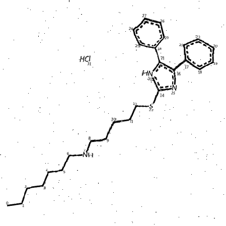 CCCCCCCNCCCCCSc1nc(-c2ccccc2)c(-c2ccccc2)[nH]1.Cl